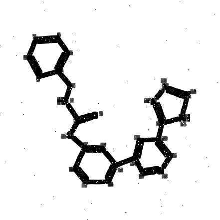 O=C(NCc1ccccc1)Oc1cccc(-c2cncc(-c3nnn[nH]3)c2)c1